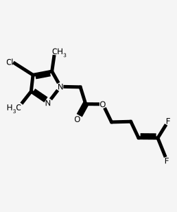 Cc1nn(CC(=O)OCCC=C(F)F)c(C)c1Cl